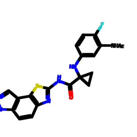 CC(=O)Nc1cc(NC2(C(=O)Nc3nc4ccc5[nH]ncc5c4s3)CC2)ccc1F